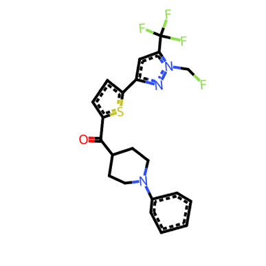 O=C(c1ccc(-c2cc(C(F)(F)F)n(CF)n2)s1)C1CCN(c2ccccc2)CC1